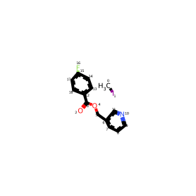 CI.O=C(OCc1cccnc1)c1ccc(F)cc1